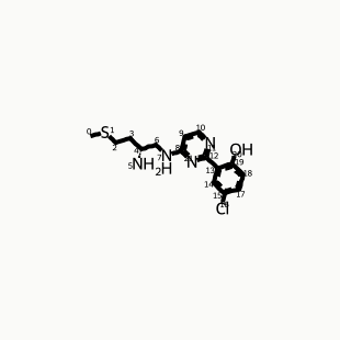 CSCC[C@@H](N)CNc1ccnc(-c2cc(Cl)ccc2O)n1